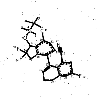 CC(C)(C)[Si](C)(C)OC1c2c(Cl)ccc(C3=CCCc4cc(F)cc(C#N)c43)c2CC1(F)F